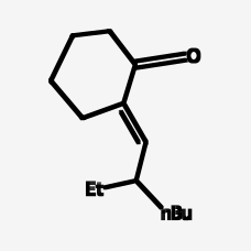 CCCCC(C=C1CCCCC1=O)CC